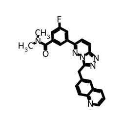 CN(C)C(=O)c1cc(F)cc(-c2ccc3nnc(Cc4ccc5ncccc5c4)n3n2)c1